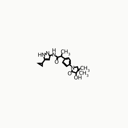 CC(C(=O)Nc1cc(C2CC2)[nH]n1)c1ccc(N2CC(C)(C)C(O)C2=O)cc1